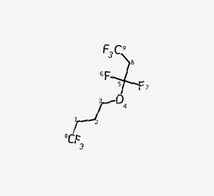 FC(F)(F)CCCOC(F)(F)CC(F)(F)F